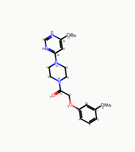 COc1cccc(OCC(=O)N2CCN(c3cc(OCC(C)C)ncn3)CC2)c1